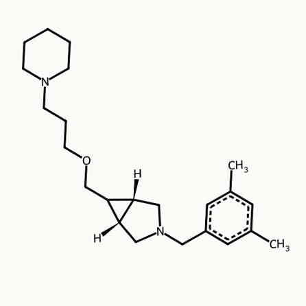 Cc1cc(C)cc(CN2C[C@@H]3C(COCCCN4CCCCC4)[C@@H]3C2)c1